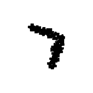 C1=CNCC1.C1CCNCC1.C1COCCN1.c1ccc2[nH]ccc2c1.c1ccc2c(c1)[nH]c1ccccc12.c1ccnnc1.c1cn[nH]c1.c1cnccn1.c1cnccn1.c1cscn1